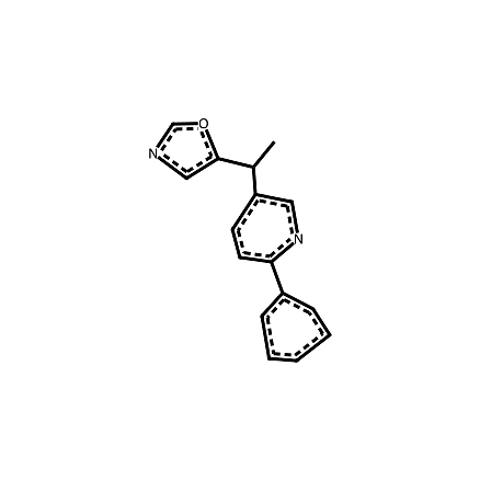 CC(c1ccc(-c2ccccc2)nc1)c1cnco1